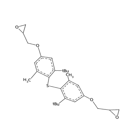 Cc1cc(OCC2CO2)cc(C(C)(C)C)c1Sc1c(C)cc(OCC2CO2)cc1C(C)(C)C